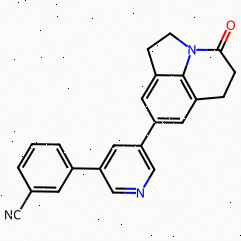 N#Cc1cccc(-c2cncc(-c3cc4c5c(c3)CCN5C(=O)CC4)c2)c1